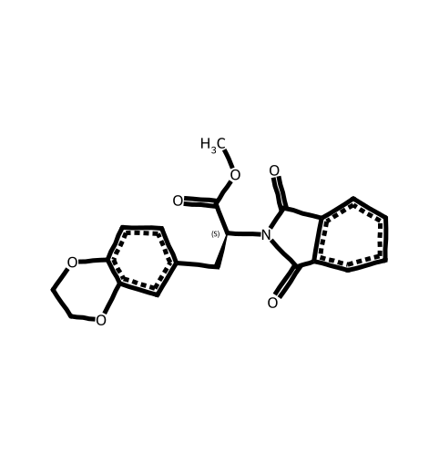 COC(=O)[C@H](Cc1ccc2c(c1)OCCO2)N1C(=O)c2ccccc2C1=O